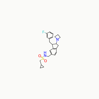 O=S(=O)(CC1CC1)NCc1ccc2c(c1)C(Cc1cccc(F)c1)C(N1CCC1)C2